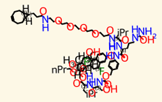 CCCC1O[C@@H]2C[C@H]3[C@@H]4C[C@H](F)C5=CC(=O)C=C[C@]5(C)[C@@]4(F)[C@@H](O)C[C@]3(C)[C@]2(C(=O)COC(=O)[C@H](CC(C)C)NC(=O)[C@H](CO)NC(=O)OCc2ccc(NC(=O)[C@H](CCCNC(N)O)NC(=O)[C@@H](NC(=O)CCOCCOCCOCCOCCNC(=O)CC[C@@H]3[C@@H]4CCC#CCC[C@@H]43)C(C)C)cc2)O1